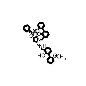 COc1ccccc1-c1cccc(CNC[C@@H]2CC(OCc3ccccc3)CN2Cc2cccc(-c3ccccc3OC)c2O)c1O